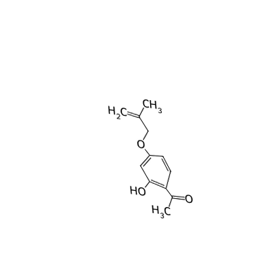 C=C(C)COc1ccc(C(C)=O)c(O)c1